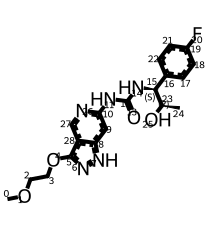 COCCOc1n[nH]c2cc(NC(=O)N[C@@H](c3ccc(F)cc3)[C@@H](C)O)ncc12